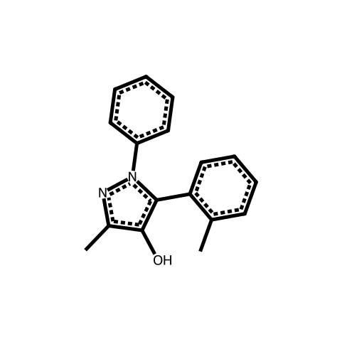 Cc1ccccc1-c1c(O)c(C)nn1-c1ccccc1